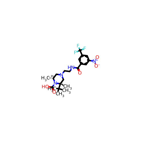 C[C@@H]1CN(CCNC(=O)c2cc([N+](=O)[O-])cc(C(F)(F)F)c2)C[C@](C)(C(C)(C)C)N1C(=O)O